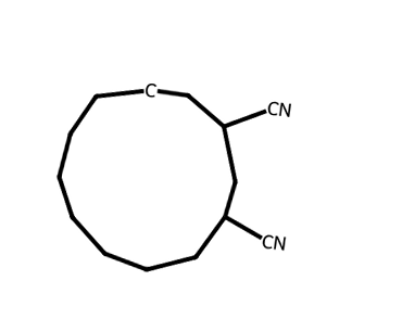 N#CC1CCCCCCCCCC(C#N)C1